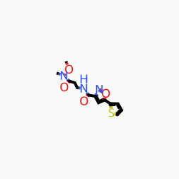 CON(C)C(=O)CCNC(=O)c1cc(-c2cccs2)on1